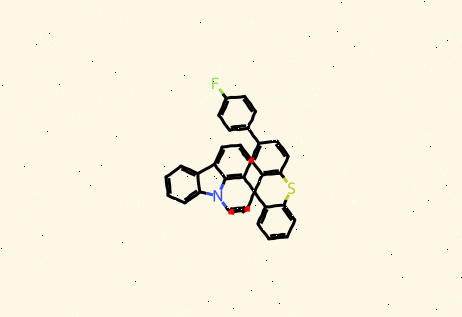 Fc1ccc(-c2ccc3c(c2)C2(c4ccccc4S3)c3ccccc3-n3c4ccccc4c4cccc2c43)cc1